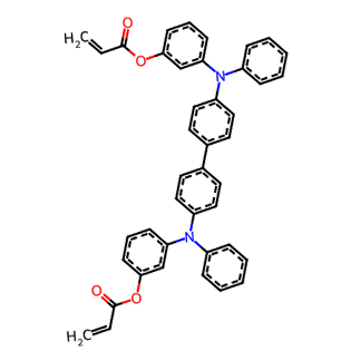 C=CC(=O)Oc1cccc(N(c2ccccc2)c2ccc(-c3ccc(N(c4ccccc4)c4cccc(OC(=O)C=C)c4)cc3)cc2)c1